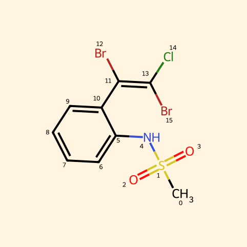 CS(=O)(=O)Nc1ccccc1C(Br)=C(Cl)Br